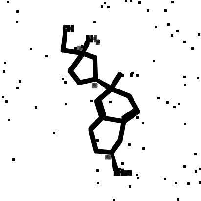 CCCCCC[C@H]1CCC2=CC(C)([C@H]3CC[C@](N)(CO)C3)CC=C2C1